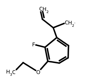 [CH2]C(C=C)c1cccc(OCC)c1F